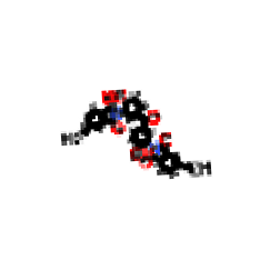 C#Cc1ccc2c(c1)C(=O)N(c1cc(C(=O)c3ccc(O)c(N4C(=O)c5ccc(C#C)cc5C4=O)c3)ccc1O)C2=O